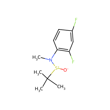 CN(c1ccc(F)cc1F)[S+]([O-])C(C)(C)C